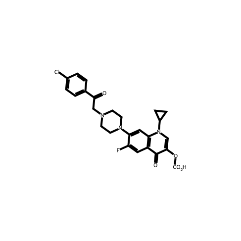 O=C(O)Oc1cn(C2CC2)c2cc(N3CCN(CC(=O)c4ccc(Cl)cc4)CC3)c(F)cc2c1=O